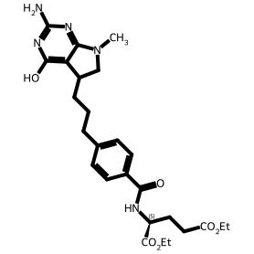 CCOC(=O)CC[C@H](NC(=O)c1ccc(CCCC2CN(C)c3nc(N)nc(O)c32)cc1)C(=O)OCC